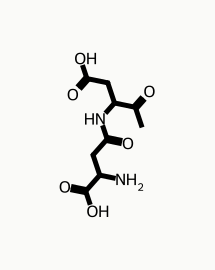 CC(=O)C(CC(=O)O)NC(=O)CC(N)C(=O)O